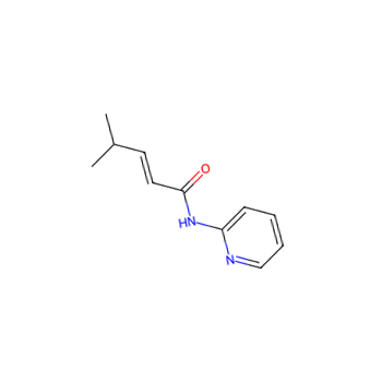 CC(C)/C=C/C(=O)Nc1ccccn1